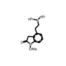 CCCN(CCC)CCc1cccc2c1CC(=O)N2OC